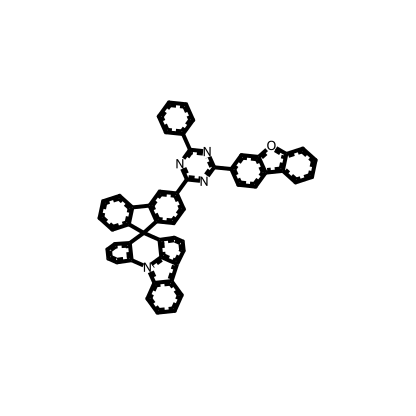 c1ccc(-c2nc(-c3ccc4c(c3)-c3ccccc3C43c4ccccc4-n4c5ccccc5c5cccc3c54)nc(-c3ccc4c(c3)oc3ccccc34)n2)cc1